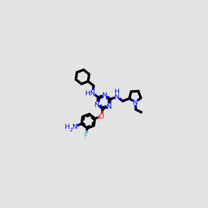 CCN1CCCC1CNc1nc(NCC2CCCCC2)nc(Oc2ccc(N)c(F)c2)n1